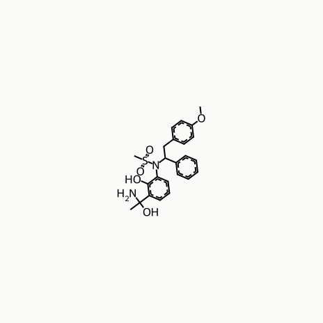 COc1ccc(CC(c2ccccc2)N(c2cccc(C(C)(N)O)c2O)S(C)(=O)=O)cc1